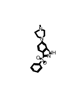 CN1CCN(c2ccc3c(S(=O)(=O)c4ccccc4)n[nH]c3c2)CC1